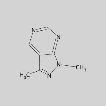 Cc1nn(C)c2ncncc12